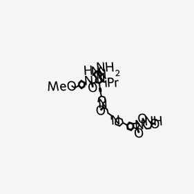 COCc1ccc(NC(=O)c2c(C#CC3CCN(C(=O)CCCCN4CCC(c5ccc6c(c5)CN(C5CCC(=O)NC5=O)C6=O)CC4)CC3)c(C(C)C)n3nc(N)ncc23)cc1